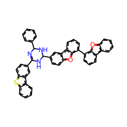 c1ccc(C2N=C(c3ccc4sc5ccccc5c4c3)NC(c3ccc4oc5c(-c6cccc7c6oc6ccccc67)cccc5c4c3)N2)cc1